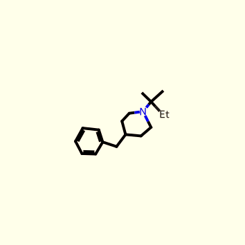 CCC(C)(C)N1CCC(Cc2ccccc2)CC1